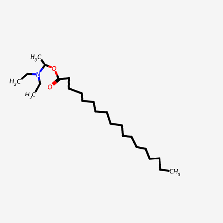 CCCCCCCCCCCCCCCCCC(=O)OC(C)N(CC)CC